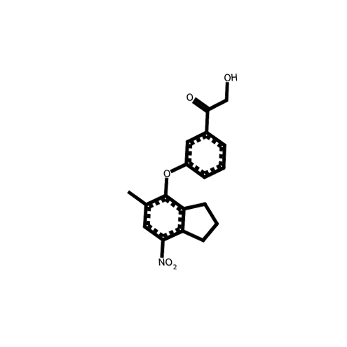 Cc1cc([N+](=O)[O-])c2c(c1Oc1cccc(C(=O)CO)c1)CCC2